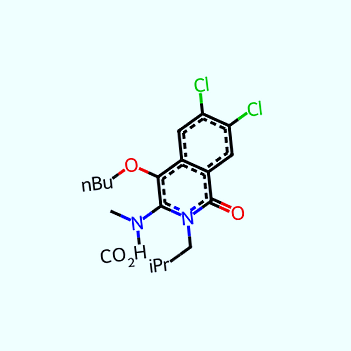 CCCCOc1c(N(C)C(=O)O)n(CC(C)C)c(=O)c2cc(Cl)c(Cl)cc12